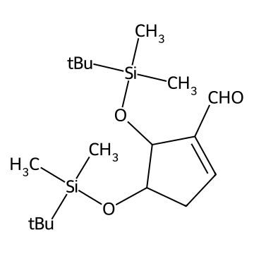 CC(C)(C)[Si](C)(C)OC1CC=C(C=O)C1O[Si](C)(C)C(C)(C)C